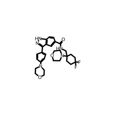 O=C(NCC1(N2CCOCC2)CCC(F)(F)CC1)c1ccc2[nH]nc(-c3ccc(N4CCOCC4)cc3)c2c1